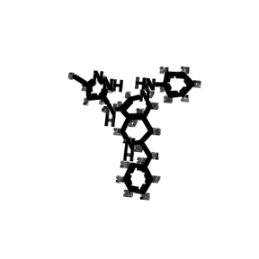 Cc1cc(NC2=CN(Nc3ccccc3)CC3=C2CNC(Cc2ccccc2)C3)[nH]n1